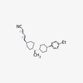 C=C([C@H]1CC[C@H](/C=C/C=C/C#N)CC1)[C@H]1CC[C@H](c2ccc(CC)cc2)CC1